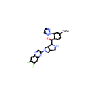 COc1ccc(C(=O)C2NCC3CN(c4cnc5cc(F)c(F)cc5n4)CC32)c(-n2nccn2)c1